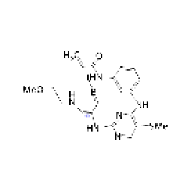 C=CC(=O)Nc1cccc(Nc2nc(N/C(C=BI)=C/NCCOC)ncc2SC)c1